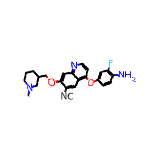 [C-]#[N+]c1cc2c(Oc3ccc(N)c(F)c3)ccnc2cc1OCC1CCCN(C)C1